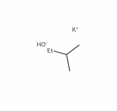 CCC(C)C.[K+].[OH-]